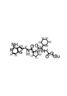 CC(C)(C)OC(=O)CN[C@@H](C(=O)N1CCC[C@H]1C(=O)NCc1cc2c(N)nccc2s1)C1CCCCC1